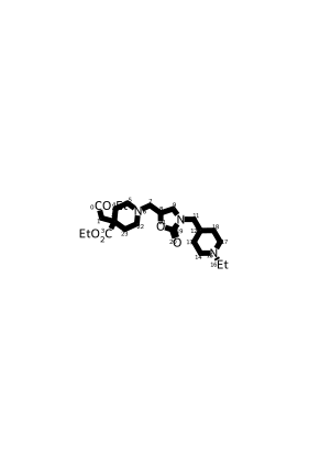 CCOC(=O)CC1(C(=O)OCC)CCN(CC2CN(CC3CCN(CC)CC3)C(=O)O2)CC1